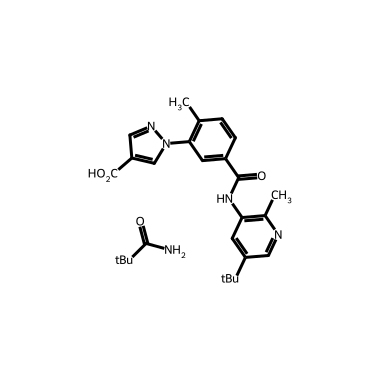 CC(C)(C)C(N)=O.Cc1ccc(C(=O)Nc2cc(C(C)(C)C)cnc2C)cc1-n1cc(C(=O)O)cn1